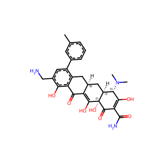 Cc1cccc(-c2cc(CN)c(O)c3c2C[C@H]2C[C@H]4[C@H](N(C)C)C(O)=C(C(N)=O)C(=O)[C@@]4(O)C(O)=C2C3=O)c1